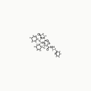 O=C(NCCc1ccccn1)C(=O)C(Cc1ccccc1)NC(=O)[C@H]1CCC(=O)N1Cc1ccccc1